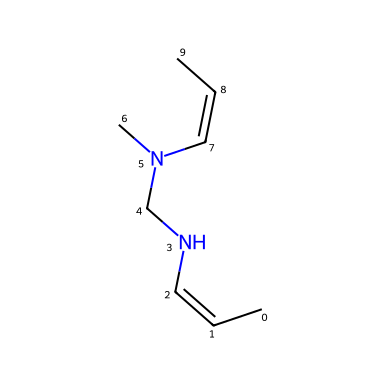 C/C=C\NCN(C)/C=C\C